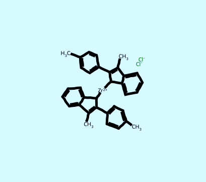 CC1=C(c2ccc(C)cc2)[CH]([Zr+2][CH]2C(c3ccc(C)cc3)=C(C)c3ccccc32)c2ccccc21.[Cl-].[Cl-]